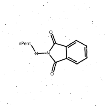 CCCCC[N]N1C(=O)c2ccccc2C1=O